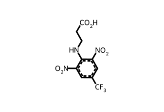 O=C(O)CCNc1c([N+](=O)[O-])cc(C(F)(F)F)cc1[N+](=O)[O-]